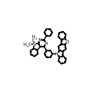 C[Si]1(C)c2ccccc2-c2c(-c3cccc(-n4c5ccccc5c5cc6oc7ccccc7c6cc54)c3)nc(-c3ccccc3)nc21